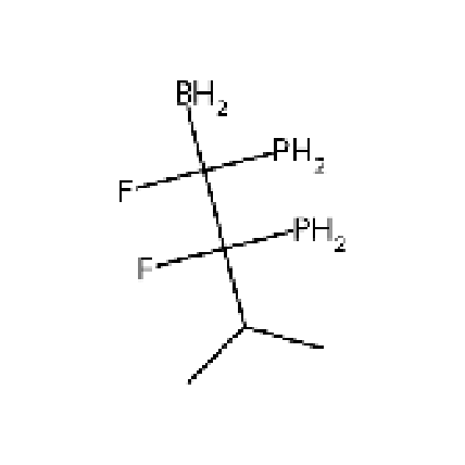 BC(F)(P)C(F)(P)C(C)C